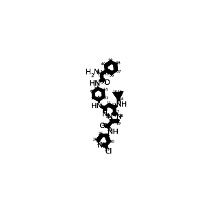 N[C@@H](C(=O)N[C@H]1CC[C@H](Nc2cc(NC3CC3)c3ncc(C(=O)Nc4ccnc(Cl)c4)n3n2)CC1)c1ccccc1